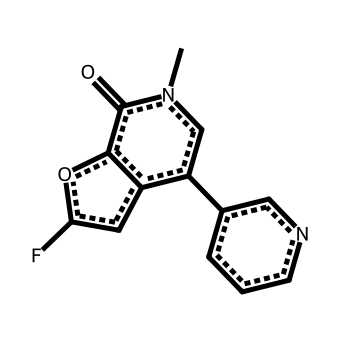 Cn1cc(-c2cccnc2)c2cc(F)oc2c1=O